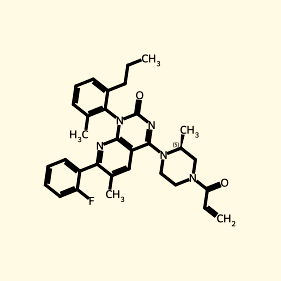 C=CC(=O)N1CCN(c2nc(=O)n(-c3c(C)cccc3CCC)c3nc(-c4ccccc4F)c(C)cc23)[C@@H](C)C1